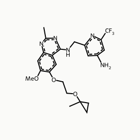 COc1cc2nc(C)nc(NCc3cc(N)cc(C(F)(F)F)n3)c2cc1OCCOC1(C)CC1